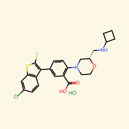 Cl.O=C(O)c1cc(-c2c(F)sc3cc(Cl)ccc23)ccc1N1CCO[C@@H](CNC2CCC2)C1